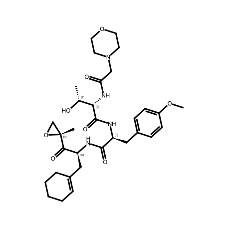 COc1ccc(C[C@H](NC(=O)[C@@H](NC(=O)CN2CCOCC2)[C@@H](C)O)C(=O)N[C@@H](CC2=CCCCC2)C(=O)[C@@]2(C)CO2)cc1